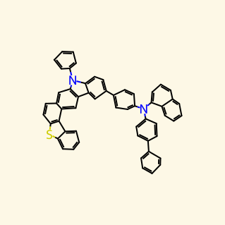 c1ccc(-c2ccc(N(c3ccc(-c4ccc5c(c4)c4cc6c(ccc7sc8ccccc8c76)cc4n5-c4ccccc4)cc3)c3cccc4ccccc34)cc2)cc1